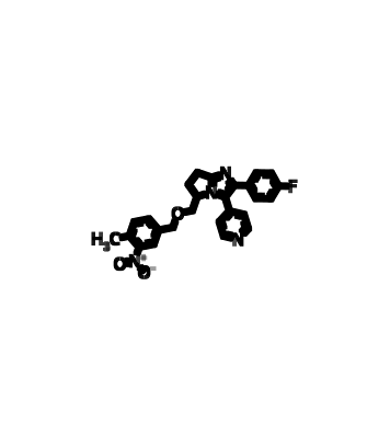 Cc1ccc(COCC2CCc3nc(-c4ccc(F)cc4)c(-c4ccncc4)n32)cc1[N+](=O)[O-]